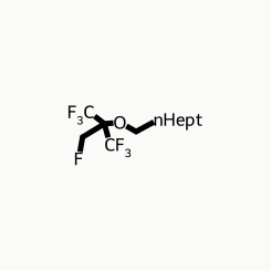 CCCCCCCCOC(CF)(C(F)(F)F)C(F)(F)F